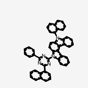 c1ccc(-c2nc(-c3cccc4ccccc34)nc(-n3c4ccccc4c4c5c6ccccc6n(-c6cccc7ccccc67)c5ccc43)n2)cc1